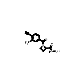 C#Cc1ccc(C(=S)N2CCC2C(=O)NO)cc1C(F)(F)F